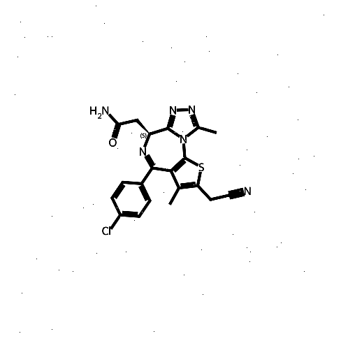 Cc1c(CC#N)sc2c1C(c1ccc(Cl)cc1)=N[C@@H](CC(N)=O)c1nnc(C)n1-2